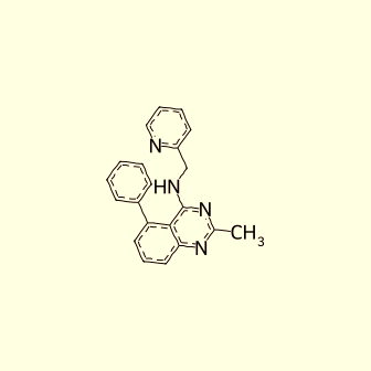 Cc1nc(NCc2ccccn2)c2c(-c3ccccc3)cccc2n1